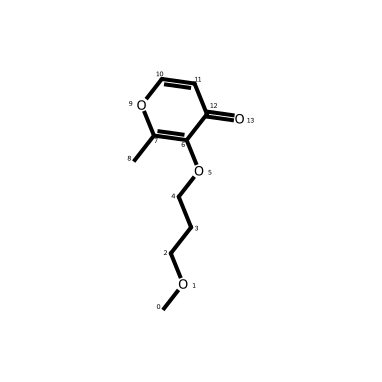 COCCCOc1c(C)occc1=O